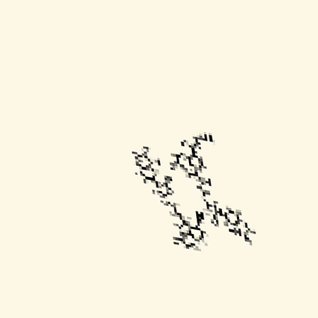 CCOC(=O)c1ccc2c3c1ccc(=O)n3CC2NCCC[C@H]1CN(c2ccc3c(c2)NC(=O)CS3)C(=O)O1.N#Cc1ccc2ccc(=O)n3c2c1[C@@H](NCCC[C@@H]1CN(c2ccc4c(n2)NC(=O)CS4)C(=O)O1)C3